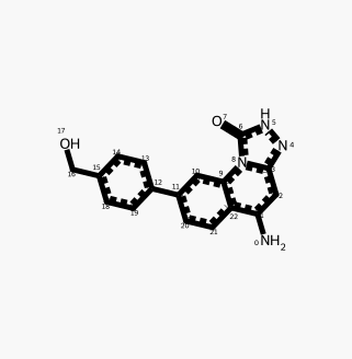 Nc1cc2n[nH]c(=O)n2c2cc(-c3ccc(CO)cc3)ccc12